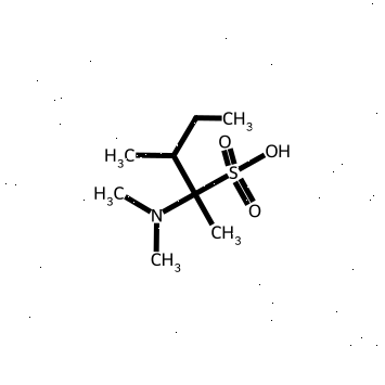 CCC(C)C(C)(N(C)C)S(=O)(=O)O